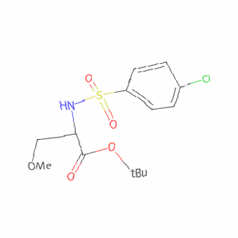 COCC(NS(=O)(=O)c1ccc(Cl)cc1)C(=O)OC(C)(C)C